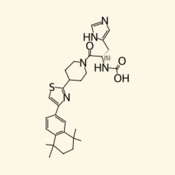 CC1(C)CCC(C)(C)c2cc(-c3csc(C4CCN(C(=O)[C@H](Cc5cnc[nH]5)NC(=O)O)CC4)n3)ccc21